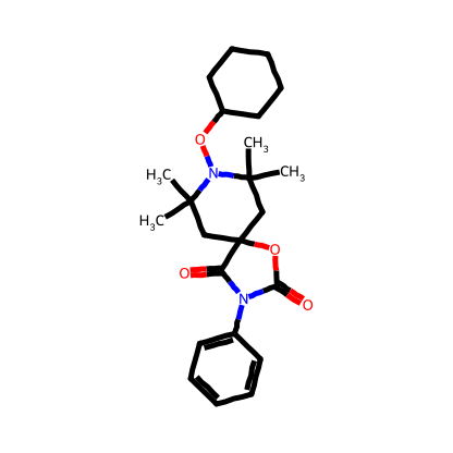 CC1(C)CC2(CC(C)(C)N1OC1CCCCC1)OC(=O)N(c1ccccc1)C2=O